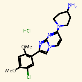 COc1cc(OC)c(-c2cn3ccc(N4CCC(N)CC4)nc3n2)cc1Cl.Cl